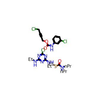 CCCN(CCC)C(=O)SCC.CCNc1nc(Cl)nc(NCC)n1.O=C(Nc1cccc(Cl)c1)OCC#CCCl